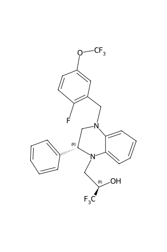 O[C@H](CN1c2ccccc2N(Cc2cc(OC(F)(F)F)ccc2F)C[C@H]1c1ccccc1)C(F)(F)F